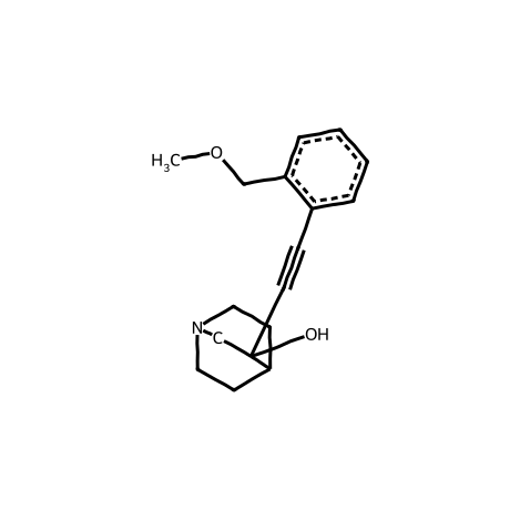 COCc1ccccc1C#CC1(O)CN2CCC1CC2